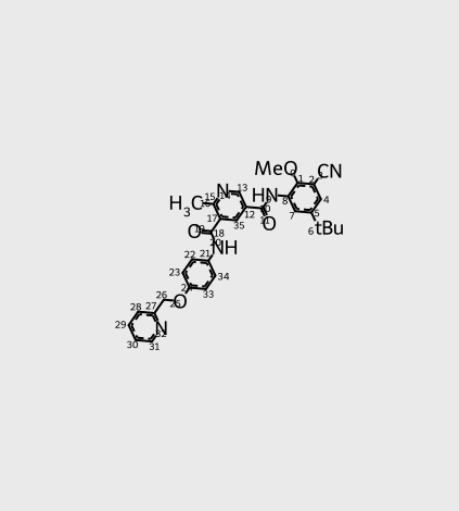 COc1c(C#N)cc(C(C)(C)C)cc1NC(=O)c1cnc(C)c(C(=O)Nc2ccc(OCc3ccccn3)cc2)c1